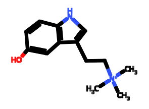 C[N+](C)(C)CCc1c[nH]c2ccc(O)cc12